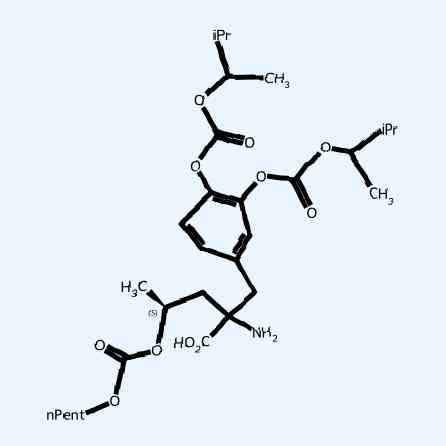 CCCCCOC(=O)O[C@@H](C)CC(N)(Cc1ccc(OC(=O)OC(C)C(C)C)c(OC(=O)OC(C)C(C)C)c1)C(=O)O